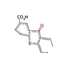 C/C=c1/c(=O)c2cc(C(=O)O)ccc2s/c1=C/C